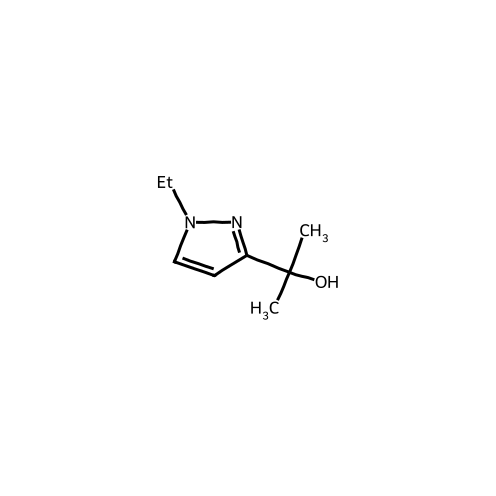 CCn1ccc(C(C)(C)O)n1